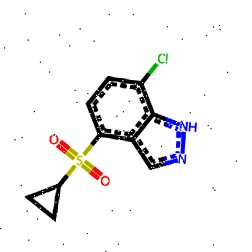 O=S(=O)(c1ccc(Cl)c2[nH]ncc12)C1CC1